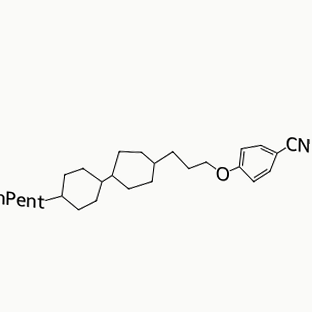 CCCCCC1CCC(C2CCC(CCCOc3ccc(C#N)cc3)CC2)CC1